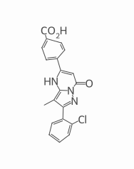 Cc1c(-c2ccccc2Cl)nn2c(=O)cc(-c3ccc(C(=O)O)cc3)[nH]c12